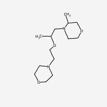 CC(CN1CCOCC1C)OCCN1CCOCC1